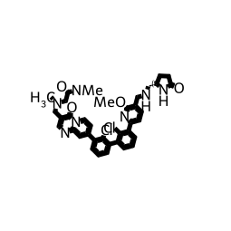 CNC(=O)CN(C)Cc1cnc2cc(-c3cccc(-c4cccc(-c5ccc(CNC[C@@H]6CCC(=O)N6)c(OC)n5)c4Cl)c3Cl)ccn2c1=O